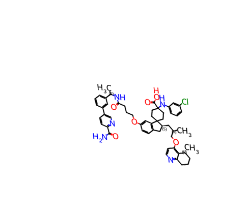 C[C@@H](COc1ccnc2c1[C@H](C)CCC2)C[C@H]1Cc2ccc(OCCCC(=O)N[C@H](C)c3cccc(-c4ccc(C(N)=O)nc4)c3)cc2C12CCC(Nc1cccc(Cl)c1)(C(=O)O)CC2